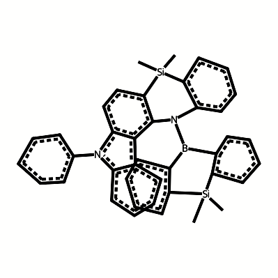 C[Si]1(C)c2ccccc2B(N2c3ccccc3[Si](C)(C)c3ccc4c(c32)c2ccccc2n4-c2ccccc2)c2ccccc21